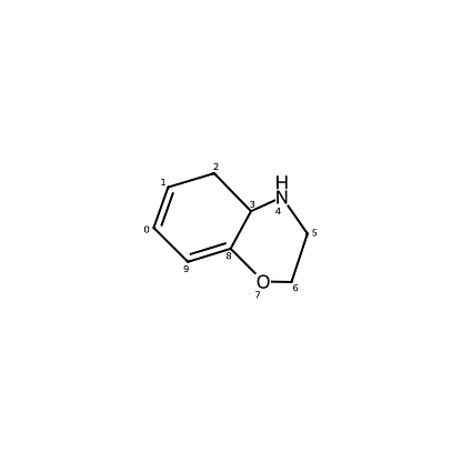 C1=CCC2NCCOC2=C1